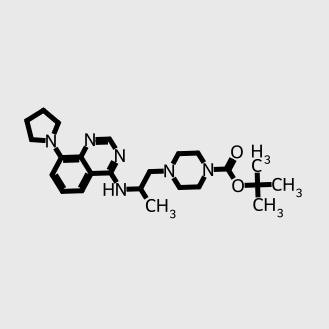 CC(CN1CCN(C(=O)OC(C)(C)C)CC1)Nc1ncnc2c(N3CCCC3)cccc12